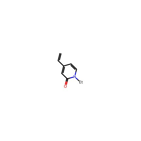 C=Cc1ccn(CC)c(=O)c1